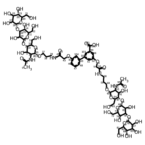 CC(=O)NC1C(O)[C@H](O[C@@H]2OC(CO)[C@H](O)C(O[C@H]3OC(CO)[C@H](O)C(O)C3O)C2O)C(CO)O[C@H]1OCCCNC(=O)COc1cccc(-c2cc(OCC(=O)NCCCO[C@@H]3OC(CO)[C@@H](O[C@@H]4OC(CO)[C@H](O)C(O[C@H]5OC(CO)[C@H](O)C(O)C5O)C4O)C(O)C3NC(C)=O)cc(C(=O)O)c2)c1